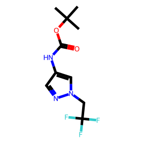 CC(C)(C)OC(=O)Nc1cnn(CC(F)(F)F)c1